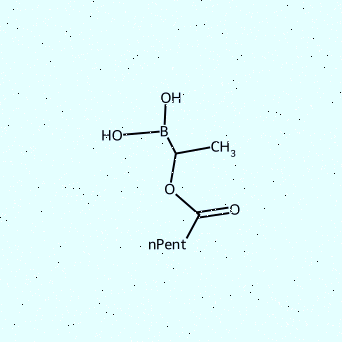 CCCCCC(=O)OC(C)B(O)O